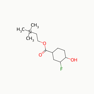 C[Si](C)(C)CCOC(=O)C1CCC(O)C(F)C1